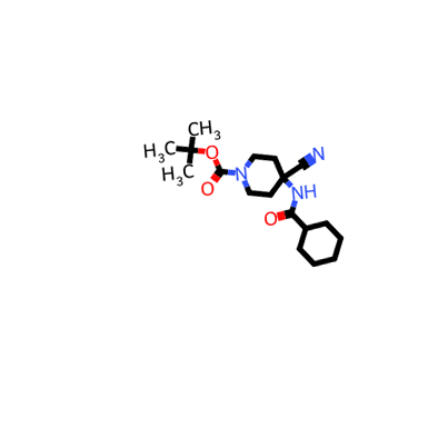 CC(C)(C)OC(=O)N1CCC(C#N)(NC(=O)C2CCCCC2)CC1